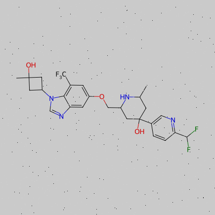 CC1CC(O)(c2ccc(C(F)F)nc2)CC(COc2cc(C(F)(F)F)c3c(c2)ncn3C2CC(C)(O)C2)N1